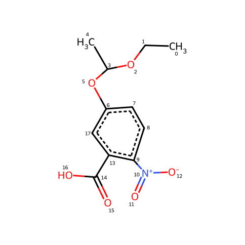 CCOC(C)Oc1ccc([N+](=O)[O-])c(C(=O)O)c1